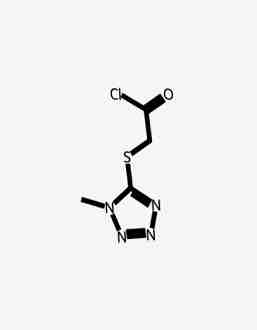 Cn1nnnc1SCC(=O)Cl